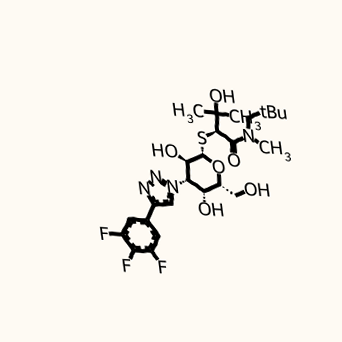 CN(CC(C)(C)C)C(=O)[C@@H](S[C@@H]1O[C@H](CO)[C@H](O)[C@H](n2cc(-c3cc(F)c(F)c(F)c3)nn2)[C@H]1O)C(C)(C)O